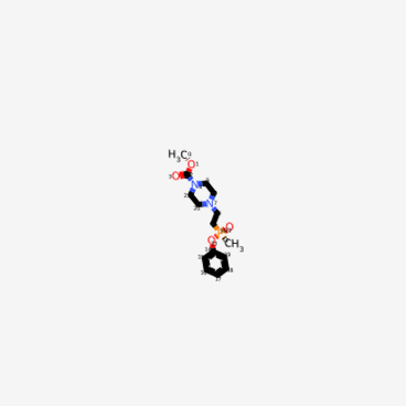 COC(=O)N1CCN(CCP(C)(=O)Oc2ccccc2)CC1